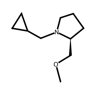 COC[C@@H]1CCCN1CC1CC1